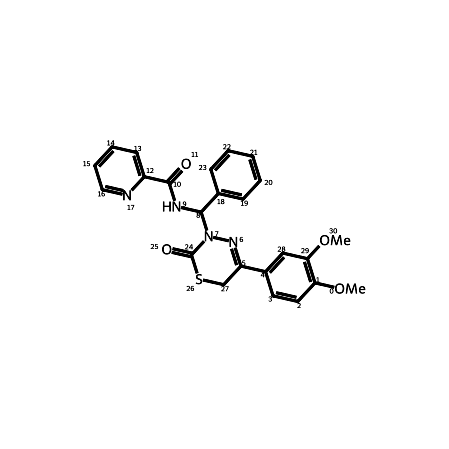 COc1ccc(C2=NN(C(NC(=O)c3ccccn3)c3ccccc3)C(=O)SC2)cc1OC